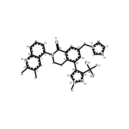 Cc1cc2c(N3CCc4c(cc(Cn5ccnc5)cc4-c4cn(C)nc4C(F)(F)F)C3=O)cccc2nc1C